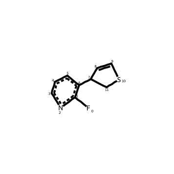 Fc1ncccc1C1C=CSC1